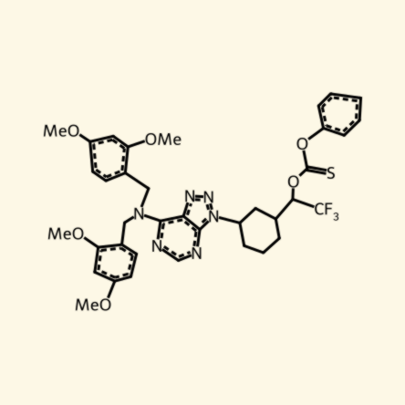 COc1ccc(CN(Cc2ccc(OC)cc2OC)c2ncnc3c2nnn3C2CCCC(C(OC(=S)Oc3ccccc3)C(F)(F)F)C2)c(OC)c1